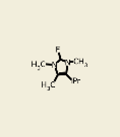 CC1=C(C(C)C)N(C)C(F)N1C